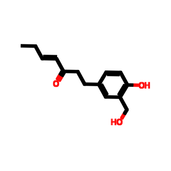 CC/C=C/C(=O)CCc1ccc(O)c(CO)c1